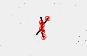 CCCCCCCCC(OC(=O)CC)C(CCCCCCCC(=O)OC)OC(=O)C1CCC(C(=O)OC(CCCCCCCC)C(CCCCCCCC(=O)OC)OC(=O)CC)CC1